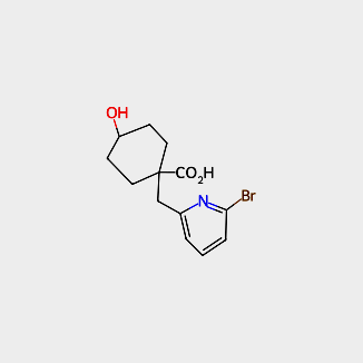 O=C(O)C1(Cc2cccc(Br)n2)CCC(O)CC1